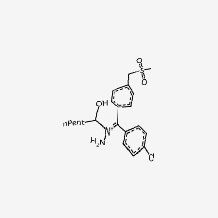 CCCCCC(O)[N+](N)=C(c1ccc(Cl)cc1)c1ccc(CS(C)(=O)=O)cc1